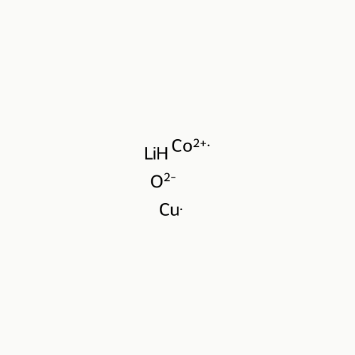 [Co+2].[Cu].[LiH].[O-2]